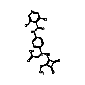 COc1c(N[C@@H](CC(=O)O)c2ccc(NC(=O)c3c(Cl)cncc3Cl)cc2)c(=O)c1=O